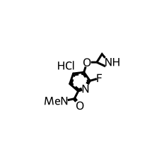 CNC(=O)c1ccc(OC2CNC2)c(F)n1.Cl